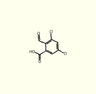 O=Cc1c(Cl)cc(Cl)cc1C(=O)O